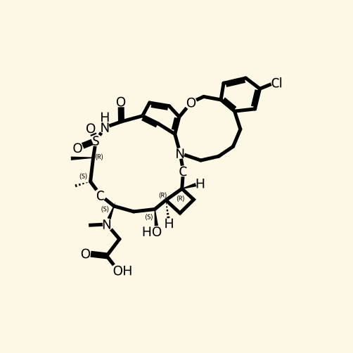 C[C@@H]1[C@@H](C)C[C@H](N(C)CC(=O)O)C[C@H](O)[C@@H]2CC[C@H]2CN2CCCCc3cc(Cl)ccc3COc3ccc(cc32)C(=O)NS1(=O)=O